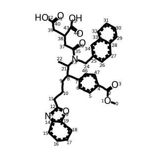 COC(=O)c1ccc(C(CCCc2nc3ccccc3o2)C(C)N(Cc2ccc3ccccc3c2)C(=O)CC(CC(=O)O)C(=O)O)cc1